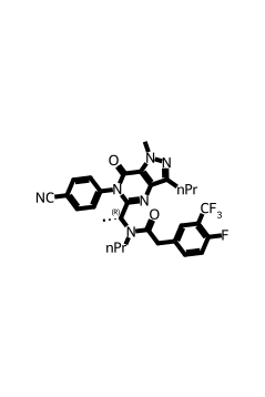 CCCc1nn(C)c2c(=O)n(-c3ccc(C#N)cc3)c([C@@H](C)N(CCC)C(=O)Cc3ccc(F)c(C(F)(F)F)c3)nc12